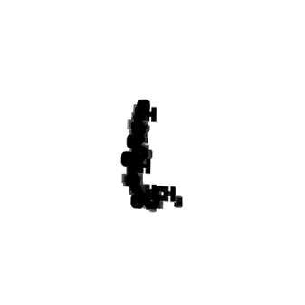 Cc1cccc(C(=O)NCc2ccc(CNC(=O)c3cccc(C(=O)Cc4ccc(CNC=O)cc4)c3)cc2)c1